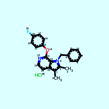 Cc1c(C)n(Cc2ccccc2)c2c(Oc3ccc(F)cc3)nccc12.Cl